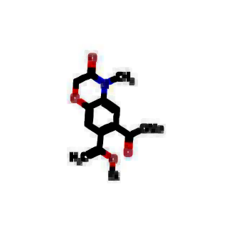 C=C(OCC)c1cc2c(cc1C(=O)OC)N(C)C(=O)CO2